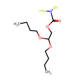 CCCCOC(COC(=O)N(S)S)OCCCC